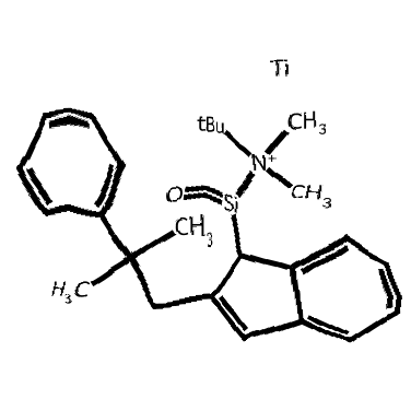 CC(C)(CC1=Cc2ccccc2C1[Si](=O)[N+](C)(C)C(C)(C)C)c1ccccc1.[Ti]